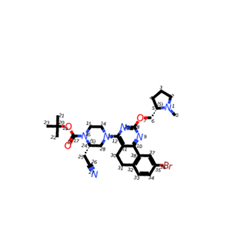 CN1CCC[C@H]1COc1nc2c(c(N3CCN(C(=O)OC(C)(C)C)[C@@H](CC#N)C3)n1)CCc1ccc(Br)cc1-2